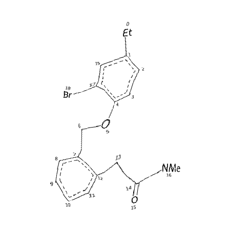 CCc1ccc(OCc2ccccc2CC(=O)NC)c(Br)c1